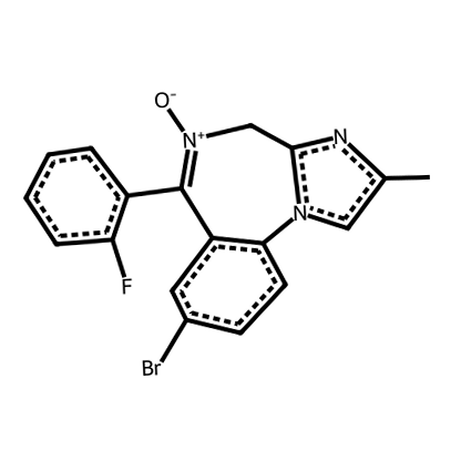 Cc1cn2c(n1)C[N+]([O-])=C(c1ccccc1F)c1cc(Br)ccc1-2